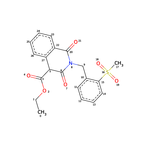 CCOC(=O)C1C(=O)N(Cc2ccccc2S(C)(=O)=O)C(=O)c2ccccc21